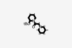 CC(C)(C)C1CCCCN1C(=O)CN1CCCCC1